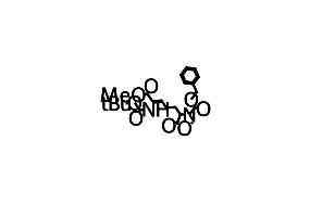 COC(=O)C(=CCCC1C(=O)OCN1C(=O)OCc1ccccc1)NC(=O)OC(C)(C)C